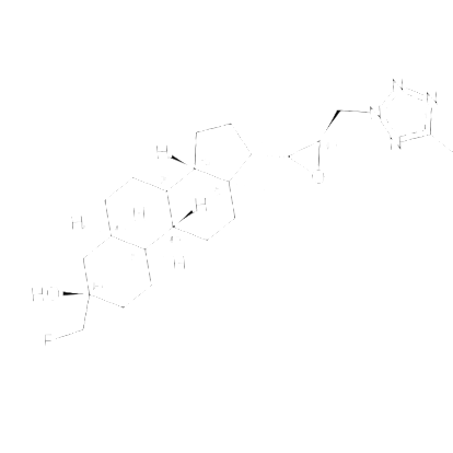 Cc1nnn(C[C@H]2OC2[C@H]2CC[C@H]3[C@@H]4CC[C@@H]5C[C@@](O)(CF)CC[C@@H]5[C@H]4CC[C@]23C)n1